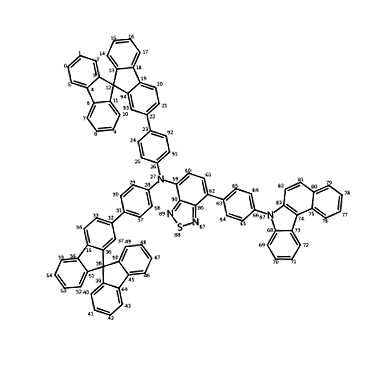 c1ccc2c(c1)-c1ccccc1C21c2ccccc2-c2ccc(-c3ccc(N(c4ccc(-c5ccc6c(c5)C5(c7ccccc7-c7ccccc75)c5ccccc5-6)cc4)c4ccc(-c5ccc(-n6c7ccccc7c7c8ccccc8ccc76)cc5)c5nsnc45)cc3)cc21